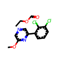 CCOC=O.COc1cncc(-c2cccc(Cl)c2Cl)n1